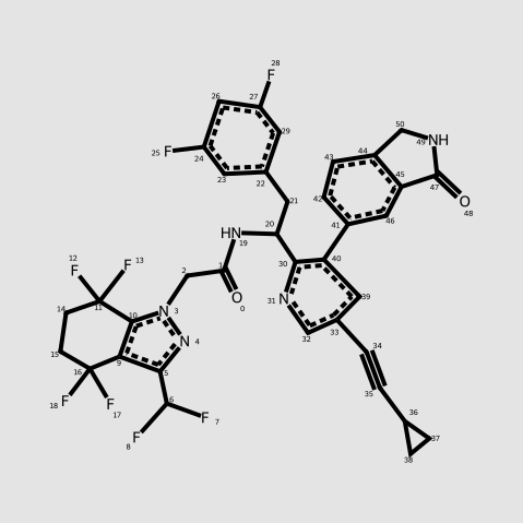 O=C(Cn1nc(C(F)F)c2c1C(F)(F)CCC2(F)F)NC(Cc1cc(F)cc(F)c1)c1ncc(C#CC2CC2)cc1-c1ccc2c(c1)C(=O)NC2